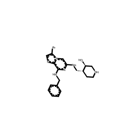 CC(C)c1cnc2c(NCc3ccccc3)nc(NC[C@H]3CCNC[C@@H]3O)cn12